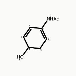 CC(=O)NC1=CCC(O)C=C1